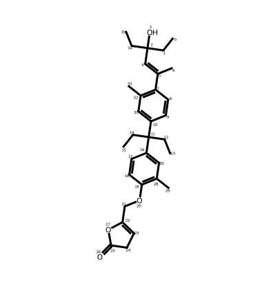 CCC(O)(C=C(C)c1ccc(C(CC)(CC)c2ccc(OCC3=CCC(=O)O3)c(C)c2)cc1C)CC